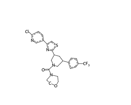 O=C(N1CCOCC1)N1CC(c2ccc(C(F)(F)F)cc2)CC(c2nc(-c3ccc(Cl)nc3)cs2)C1